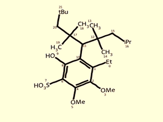 CCc1c(OC)c(OC)c(S(=O)(=O)O)c(O)c1C(C(C)(C)CC(C)C)C(C)(C)CC(C)(C)C